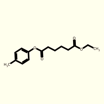 CCOC(=O)CCCCC(=O)Oc1ccc(C)cc1